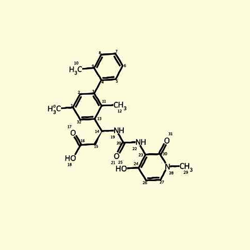 Cc1cc(-c2ccccc2C)c(C)c([C@H](CC(=O)O)NC(=O)Nc2c(O)ccn(C)c2=O)c1